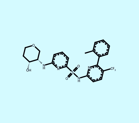 Cc1ccccc1-c1nc(NS(=O)(=O)c2cccc(N[C@H]3COCC[C@H]3O)n2)ccc1C(F)(F)F